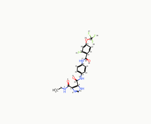 CCNC(=O)c1nc[nH]c1C(=O)Nc1ccc(NC(=O)c2ccc(OC(F)(F)F)cc2F)cc1